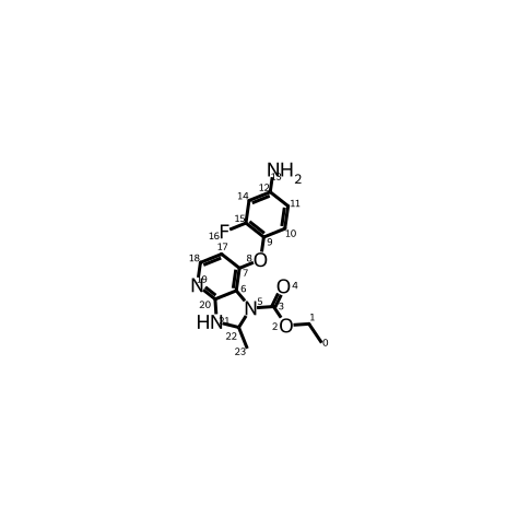 CCOC(=O)N1c2c(Oc3ccc(N)cc3F)ccnc2NC1C